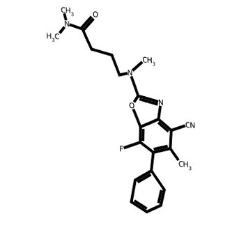 Cc1c(-c2ccccc2)c(F)c2oc(N(C)CCCC(=O)N(C)C)nc2c1C#N